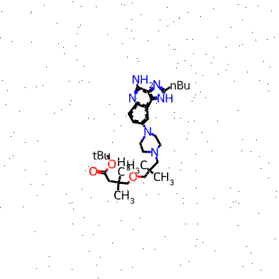 CCCCc1nc2c(N)nc3ccc(N4CCN(CC(C)(C)COCC(C)(C)CC(=O)OC(C)(C)C)CC4)cc3c2[nH]1